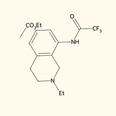 CCN1CCc2cccc(NC(=O)C(F)(F)F)c2C1.CCOC(C)=O